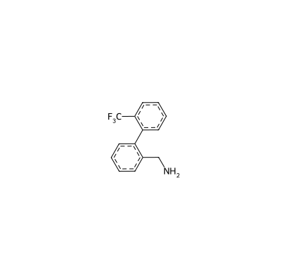 NCc1ccccc1-c1ccccc1C(F)(F)F